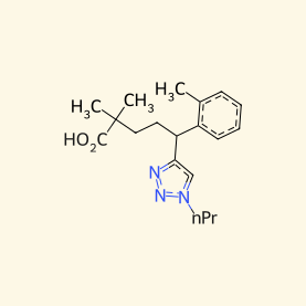 CCCn1cc(C(CCC(C)(C)C(=O)O)c2ccccc2C)nn1